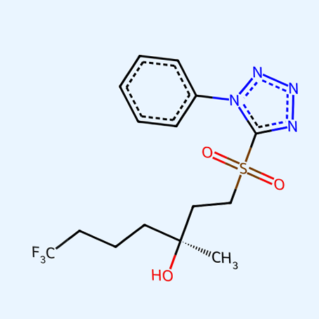 C[C@](O)(CCCC(F)(F)F)CCS(=O)(=O)c1nnnn1-c1ccccc1